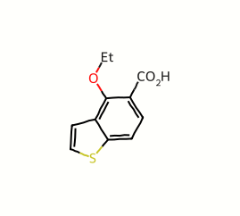 CCOc1c(C(=O)O)ccc2sccc12